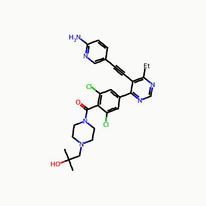 CCc1ncnc(-c2cc(Cl)c(C(=O)N3CCN(CC(C)(C)O)CC3)c(Cl)c2)c1C#Cc1ccc(N)nc1